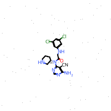 N#Cc1c(N)ncnc1N(C(=O)CNc1cc(Cl)cc(Cl)c1)[C@H]1CCCNC1